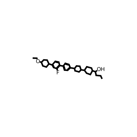 CCCC(O)C1CCC(C2CCC(c3ccc(-c4ccc(C5CCC(OCC)CC5)cc4F)cc3)CC2)CC1